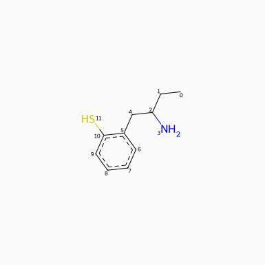 CCC(N)Cc1ccccc1S